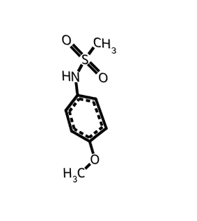 COc1ccc(NS(C)(=O)=O)cc1